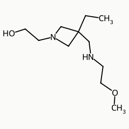 CCC1(CNCCOC)CN(CCO)C1